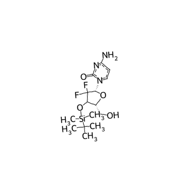 CC(C)(C)[Si](C)(C)OC1[C@@H](CO)O[C@@H](n2ccc(N)nc2=O)C1(F)F